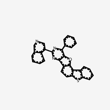 c1ccc(-c2nc(-c3cncc4ccccc34)nc3c2oc2c3ccc3sc4ccccc4c32)cc1